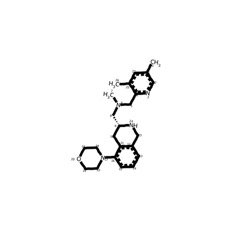 Cc1cnc(CN(C)C[C@H]2Cc3c(cccc3N3CCOCC3)CN2)c(C)c1